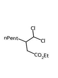 CCCCCC(CC(=O)OCC)C(Cl)Cl